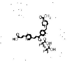 CC(=O)N1CCN(Cc2ccc(C(=O)/C=C/c3ccc(/C=C/C(=O)O)nc3)cc2)CC1.O=C(O)C(F)(F)F.O=C(O)C(F)(F)F